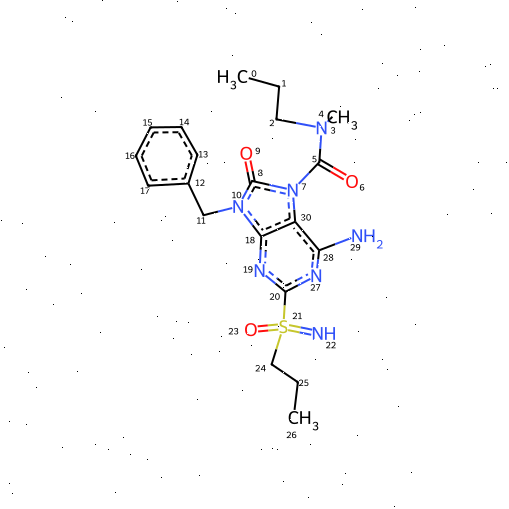 CCCN(C)C(=O)n1c(=O)n(Cc2ccccc2)c2nc(S(=N)(=O)CCC)nc(N)c21